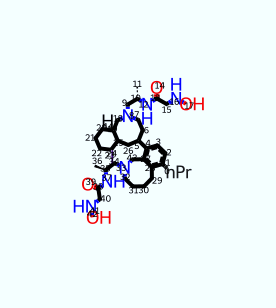 CCCc1ccc(C2CCN(C[C@H](C)NC(=O)CNO)C[C@@H]3CCCC(I)C3C2)c2c1CCCCN(C[C@H](C)NC(=O)CNO)C2